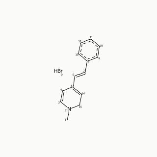 Br.CN1C=CC(C=Cc2ccccc2)=CC1